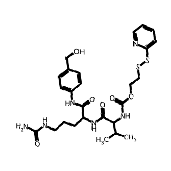 CC(C)C(NC(=O)OCCSSc1ccccn1)C(=O)NC(CCCNC(N)=O)C(=O)Nc1ccc(CO)cc1